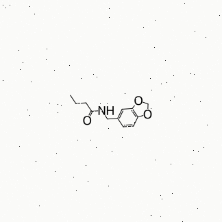 CCCC(=O)NCc1ccc2c(c1)OCO2